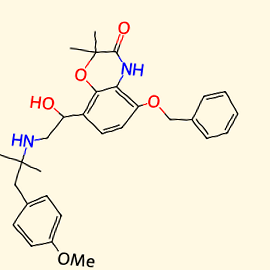 COc1ccc(CC(C)(C)NCC(O)c2ccc(OCc3ccccc3)c3c2OC(C)(C)C(=O)N3)cc1